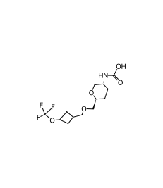 O=C(O)N[C@@H]1CC[C@@H](COCC2CC(OC(F)(F)F)C2)OC1